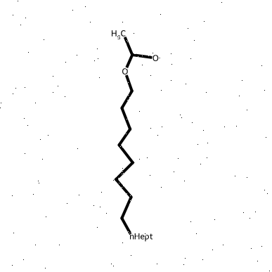 CCCCCCCCCCCCCCCOC(C)[O]